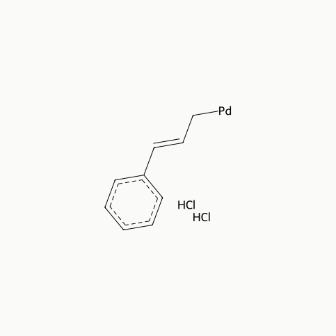 Cl.Cl.[Pd][CH2]C=Cc1ccccc1